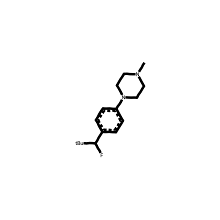 CN1CCN(c2ccc(C(F)C(C)(C)C)cc2)CC1